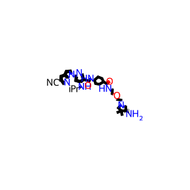 CC(C)Nc1cc(-n2ccc3cc(C#N)cnc32)ncc1C(=O)NC1CCC(C(=O)NCCOCCN2C[C@H](N)C(C)(C)C2)CC1